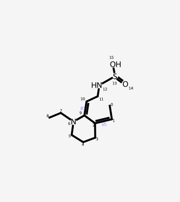 C/C=C1/CCCN(CC)/C1=C/CNS(=O)O